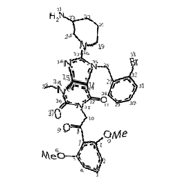 COc1cccc(OC)c1C(=O)Cn1c(=O)c2c(nc(N3CCCC(N)C3)n2Cc2ccccc2Br)n(C)c1=O